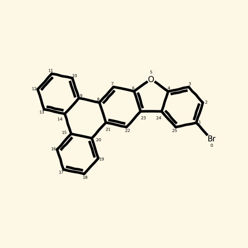 Brc1ccc2oc3cc4c5ccccc5c5ccccc5c4cc3c2c1